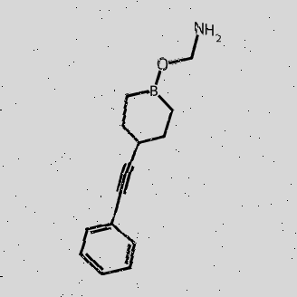 NCOB1CCC(C#Cc2ccccc2)CC1